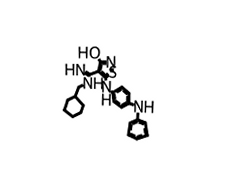 N=C(NCC1CCCCC1)c1c(O)nsc1Nc1ccc(Nc2ccccc2)cc1